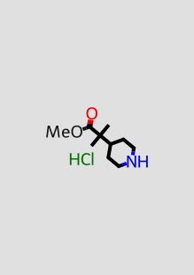 COC(=O)C(C)(C)C1CCNCC1.Cl